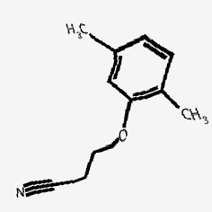 Cc1ccc(C)c(OCCC#N)c1